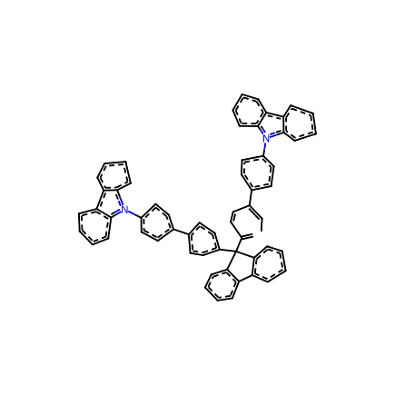 C=C(/C=C\C(=C/C)c1ccc(-n2c3ccccc3c3ccccc32)cc1)C1(c2ccc(-c3ccc(-n4c5ccccc5c5ccccc54)cc3)cc2)c2ccccc2-c2ccccc21